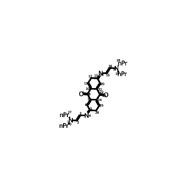 CCCN(C=CN=C1C=C2C(=O)C3=CCC(=NC=CN(CCC)CCC)C=C3C(=O)C2=CC1)CCC